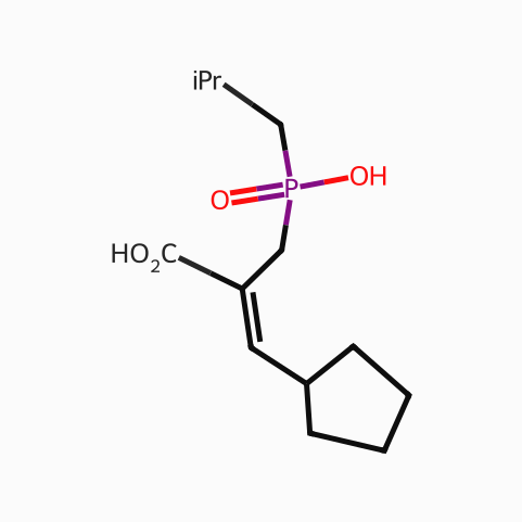 CC(C)CP(=O)(O)CC(=CC1CCCC1)C(=O)O